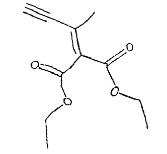 C#CC(C)=C(C(=O)OCC)C(=O)OCC